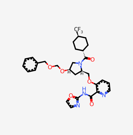 O=C(Nc1ncco1)c1ncccc1OC[C@H]1C[C@@H](OCOCc2ccccc2)CN1C(=O)[C@H]1CC[C@H](C(F)(F)F)CC1